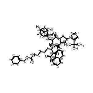 CC(C)(O)c1cnnn1[C@H]1C[C@@H](C(=O)NC(CCCCNC(=O)OCc2ccccc2)C(=O)C(N)=O)N(C(=O)C(C[C@H]2CC[C@H]3C[C@@H]2C3(C)C)NC(=O)c2ccc3ccccc3c2)C1